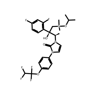 CC(C)O[Si](C)(C)C[C@@](O)(c1ccc(F)cc1F)[C@@H](C)n1ccn(-c2ccc(OC(F)(F)C(F)F)cc2)c1=O